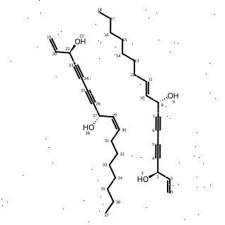 C=C[C@@H](O)C#CC#C[C@@H](O)/C=C/CCCCCCC.C=C[C@@H](O)C#CC#C[C@@H](O)/C=C\CCCCCCC